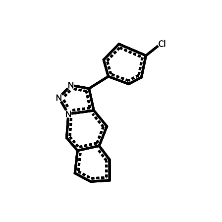 Clc1ccc(-c2nnn3cc4ccccc4cc23)cc1